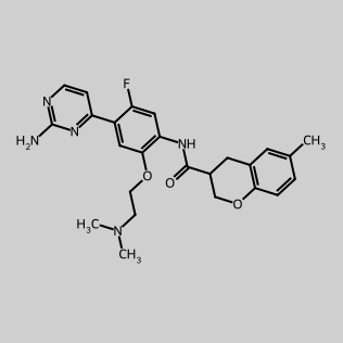 Cc1ccc2c(c1)CC(C(=O)Nc1cc(F)c(-c3ccnc(N)n3)cc1OCCN(C)C)CO2